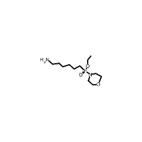 CCOP(=O)(CCCCCCN)N1CCOCC1